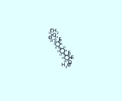 C=CC1OCC(c2ccc(-c3ccc(-c4ccc(OC)c(F)c4F)cc3)cc2F)CO1